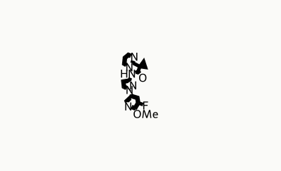 COc1ncc(-n2ccc(NC(=O)C3(c4ncccn4)CC3)n2)cc1F